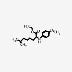 C=C(C)CCCCC(Nc1ccc(OC)cc1)C(=O)OCC